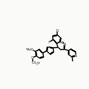 COc1cc(-c2ccc(C(C/C(=N\O)c3ccnc(C)c3)c3ccc(Cl)cc3F)cc2)ccc1OC(=O)O